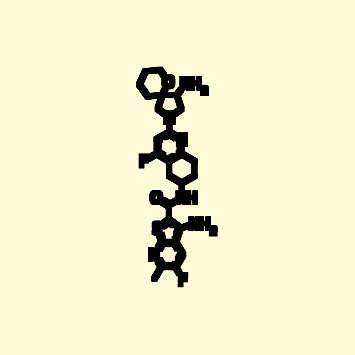 Cc1nc2sc(C(=O)NC3CCc4nc(N5CC(N)C6(CCCCO6)C5)cc(F)c4C3)c(N)c2cc1F